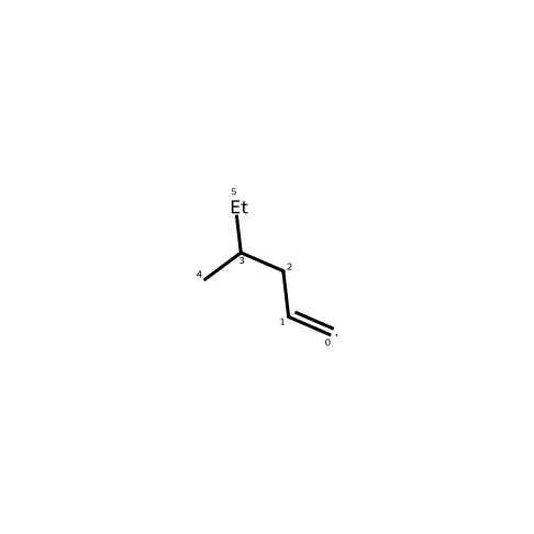 [CH]=CCC(C)CC